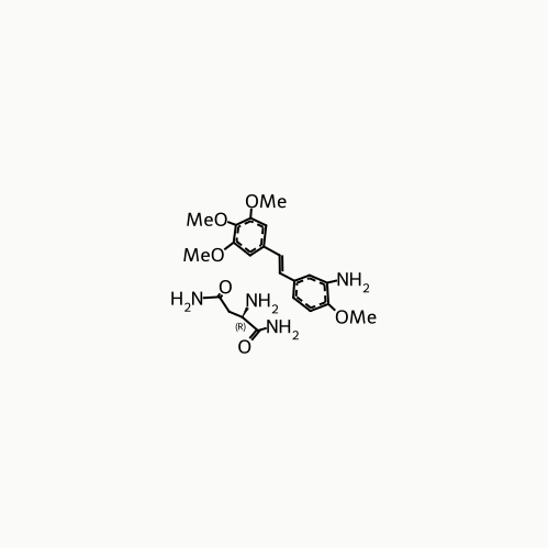 COc1ccc(C=Cc2cc(OC)c(OC)c(OC)c2)cc1N.NC(=O)C[C@@H](N)C(N)=O